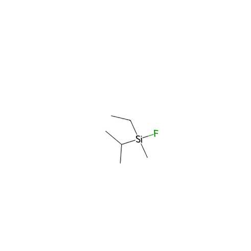 CC[Si](C)(F)C(C)C